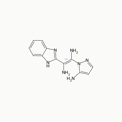 N/C(=C(/N)n1nccc1N)c1nc2ccccc2[nH]1